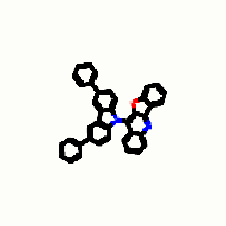 c1ccc(-c2ccc3c(c2)c2cc(-c4ccccc4)ccc2n3-c2c3ccccc3nc3c2oc2ccccc23)cc1